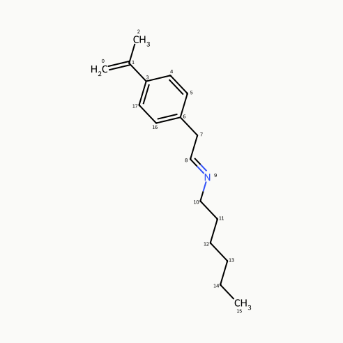 C=C(C)c1ccc(CC=NCCCCCC)cc1